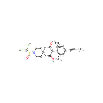 CC#Cc1cc(C)c(C2C(=O)CC3(CCN([S+]([O-])C(F)F)CC3)CC2=O)c(C)c1